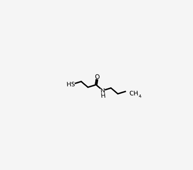 C.CCCNC(=O)CCS